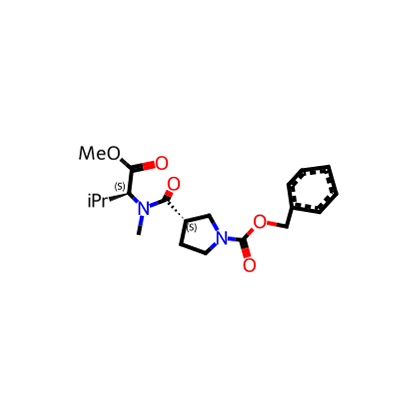 COC(=O)[C@H](C(C)C)N(C)C(=O)[C@H]1CCN(C(=O)OCc2ccccc2)C1